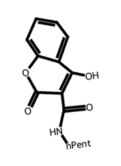 CCCCCNC(=O)c1c(O)c2ccccc2oc1=O